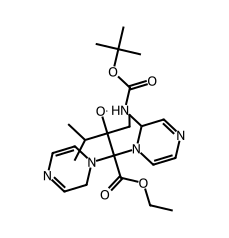 CCOC(=O)C(N1C=CN=CC1)(N1C=CN=CC1NC(=O)OC(C)(C)C)C([O])(CC)C(C)C